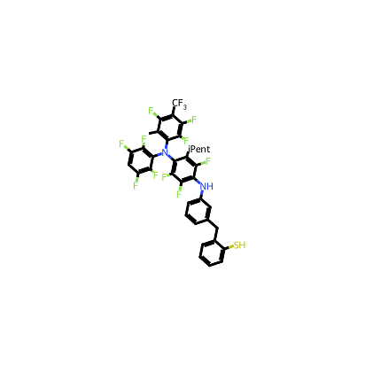 CCCC(C)c1c(F)c(Nc2cccc(Cc3ccccc3S)c2)c(F)c(F)c1N(c1c(C)c(F)c(C(F)(F)F)c(F)c1F)c1c(F)c(F)cc(F)c1F